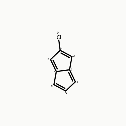 ClC1=CC2=CC=CC2=C1